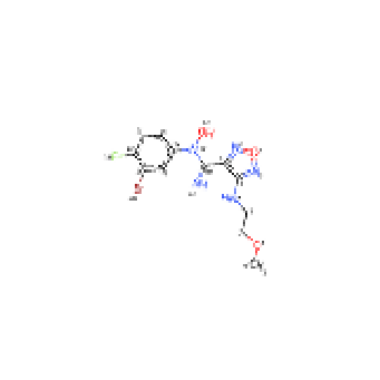 COCCNc1nonc1C(=N)N(O)c1ccc(F)c(Br)c1